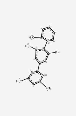 Cc1cc(C)nc(-c2cc(F)c(-c3ccccc3C)[n+](C)c2)n1